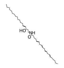 CCCCCC=CCC=CCC=CCC=CCCCC(=O)NCCC(O)C=CCCCCCCCCCCCCC